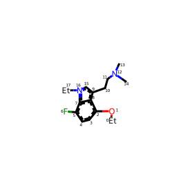 CCOc1ccc(F)c2c1c(CCN(C)C)cn2CC